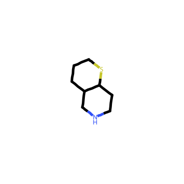 C1CSC2CCNCC2C1